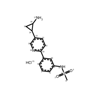 CS(=O)(=O)Nc1cccc(-c2ccc(C3CC3N)cn2)c1.Cl